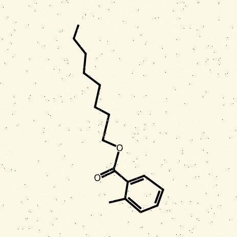 CCCCCCCCOC(=O)c1ccccc1C